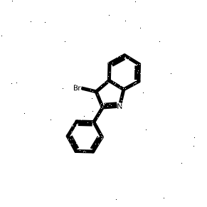 BrC1C(c2ccccc2)=NC2C=CC=CC21